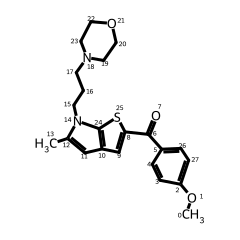 COc1ccc(C(=O)c2cc3cc(C)n(CCCN4CCOCC4)c3s2)cc1